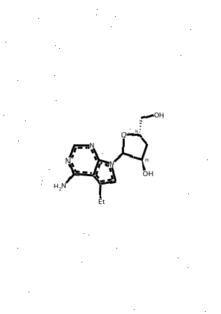 CCc1cn(C2O[C@H](CO)C[C@H]2O)c2ncnc(N)c12